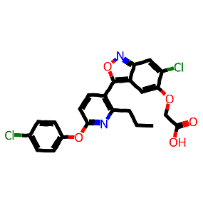 CCCc1nc(Oc2ccc(Cl)cc2)ccc1-c1onc2cc(Cl)c(OCC(=O)O)cc12